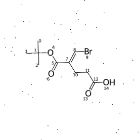 CC(C)(C)OC(=O)C(=CBr)CCC(=O)O